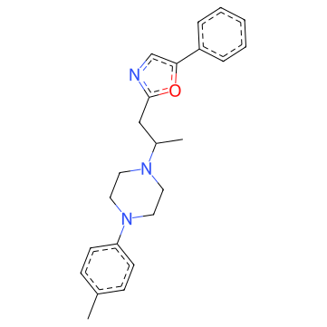 Cc1ccc(N2CCN(C(C)Cc3ncc(-c4ccccc4)o3)CC2)cc1